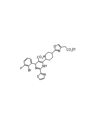 CCOC(=O)Cc1coc(C2CCC(C3=C(C(=O)O)C(c4cccc(F)c4Br)N=C(c4nccs4)N3)CC2)n1